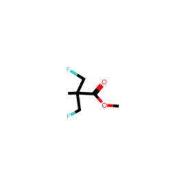 COC(=O)C(C)(CF)CF